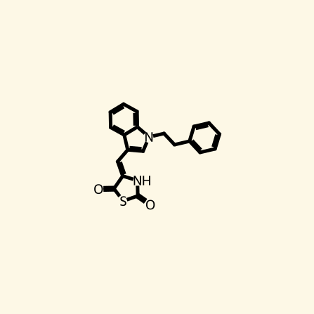 O=C1NC(=Cc2cn(CCc3ccccc3)c3ccccc23)C(=O)S1